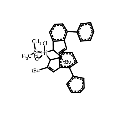 C[SiH](C)[Hf]([Cl])([Cl])([CH]1C(C(C)(C)C)=Cc2c(-c3ccccc3)cccc21)[CH]1C(C(C)(C)C)=Cc2c(-c3ccccc3)cccc21